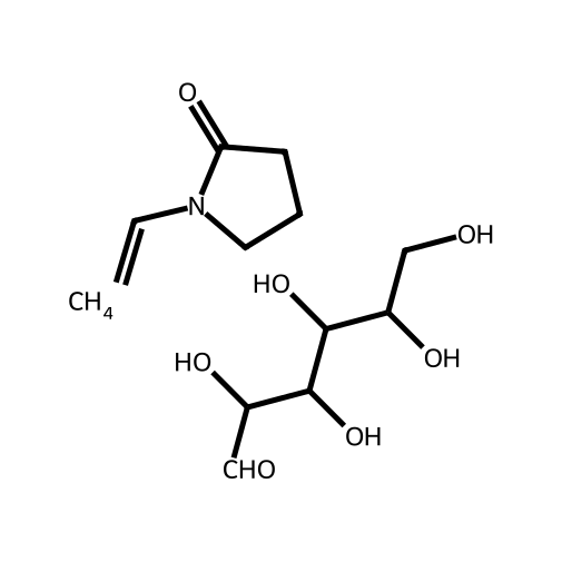 C.C=CN1CCCC1=O.O=CC(O)C(O)C(O)C(O)CO